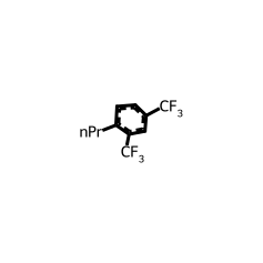 [CH2]CCc1ccc(C(F)(F)F)cc1C(F)(F)F